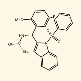 COc1ccc(F)cc1[C@@H](N[S@@+]([O-])C(C)(C)C)c1cc2ccccc2n1S(=O)(=O)c1ccccc1